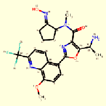 COc1ccc(-c2nc(C(=O)N(C)C3CCCC3=NO)c([C@H](C)N)o2)c2ccc(C(F)(F)F)nc12